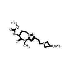 COC1CN(CCc2cc3n(n2)CCC(NC(=O)OC(C)(C)C)C(=O)N3C)C1